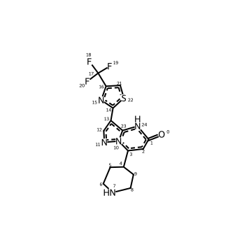 O=c1cc(C2CCNCC2)n2ncc(-c3nc(C(F)(F)F)cs3)c2[nH]1